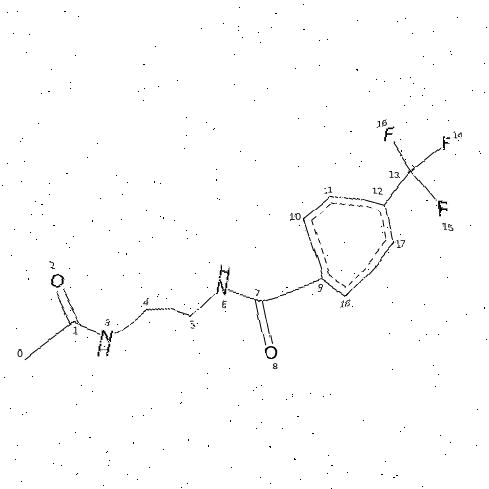 CC(=O)NCCNC(=O)c1ccc(C(F)(F)F)cc1